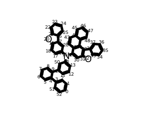 c1ccc(-c2ccccc2-c2cccc(N(c3ccc4oc5ccccc5c4c3)c3cc4oc5ccccc5c4c4c3ccc3ccccc34)c2)cc1